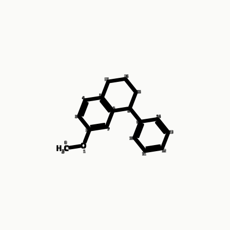 COc1ccc2c(c1)C(c1ccccc1)CCC2